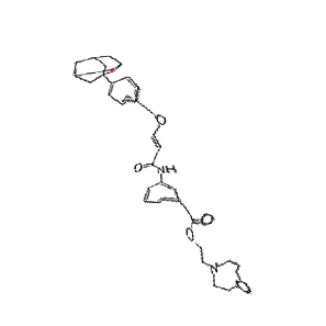 O=C(C=COc1ccc(C23CC4CC(CC(C4)C2)C3)cc1)Nc1cccc(C(=O)OCCN2CCOCC2)c1